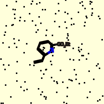 C=Cc1cccc(C(=O)OCC)n1